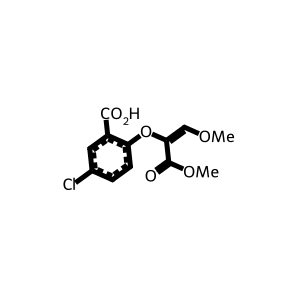 CO/C=C(/Oc1ccc(Cl)cc1C(=O)O)C(=O)OC